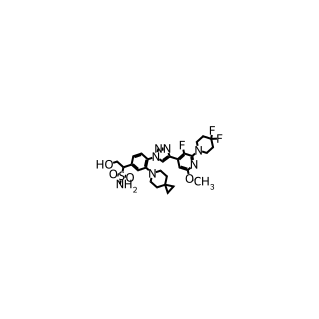 COc1cc(-c2cn(-c3ccc(C(CO)S(N)(=O)=O)cc3N3CCC4(CC3)CC4)nn2)c(F)c(N2CCC(F)(F)CC2)n1